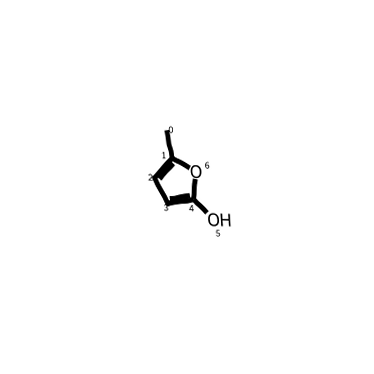 Cc1ccc(O)o1